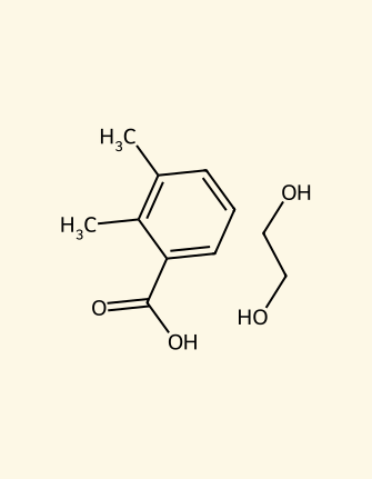 Cc1cccc(C(=O)O)c1C.OCCO